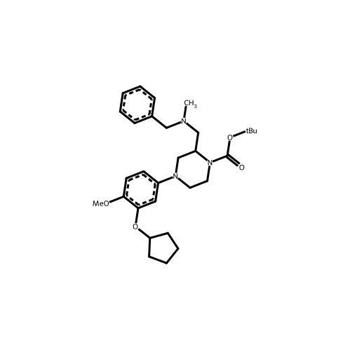 COc1ccc(N2CCN(C(=O)OC(C)(C)C)C(CN(C)Cc3ccccc3)C2)cc1OC1CCCC1